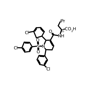 CC(C)C[C@H](NC(=O)C1=CCC(c2cccc(Cl)c2)N(S(=O)(=O)c2ccc(Cl)cc2)C1C1C=CC=C(Cl)C1)C(=O)O